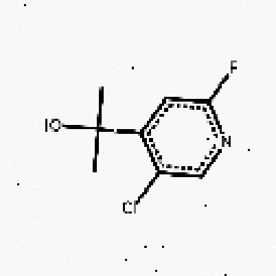 CC(C)(O)c1cc(F)ncc1Cl